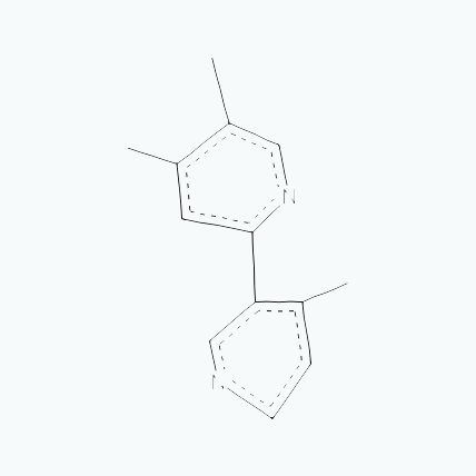 Cc1cnc(-c2cnccc2C)cc1C